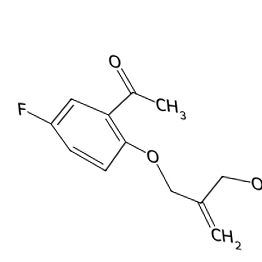 C=C(CO)COc1ccc(F)cc1C(C)=O